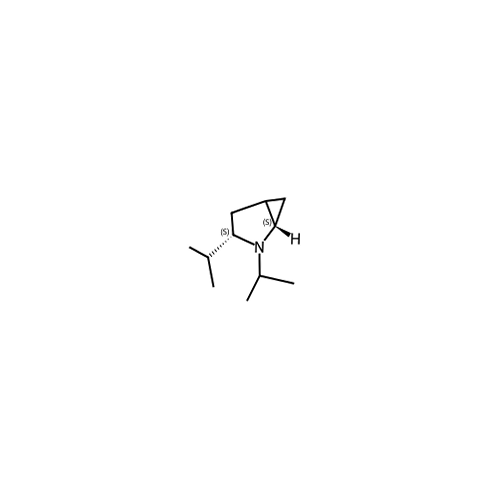 CC(C)[C@@H]1CC2C[C@@H]2N1C(C)C